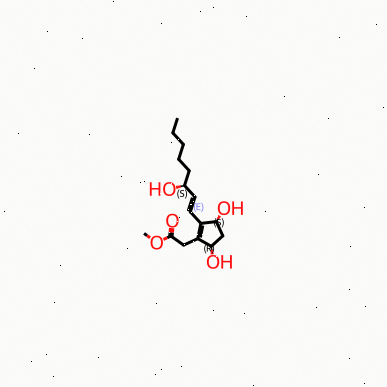 CCCCC[C@H](O)/C=C/C1=C(CC(=O)OC)[C@H](O)C[C@@H]1O